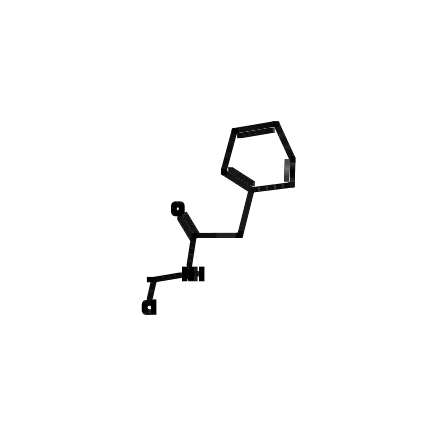 O=C(Cc1ccccc1)N[CH]Cl